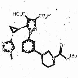 Cn1cc([C@@H]2C[C@H]2c2c(C(=O)O)c(C(=O)O)nn2-c2cccc(C3CCCN(C(=O)OC(C)(C)C)C3)c2)nn1